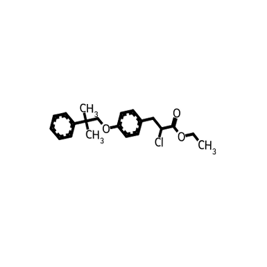 CCOC(=O)C(Cl)Cc1ccc(OCC(C)(C)c2ccccc2)cc1